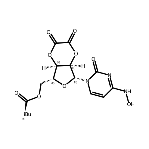 CC[C@H](C)C(=O)OC[C@H]1O[C@@H](n2ccc(NO)nc2=O)[C@@H]2OC(=O)C(=O)O[C@@H]21